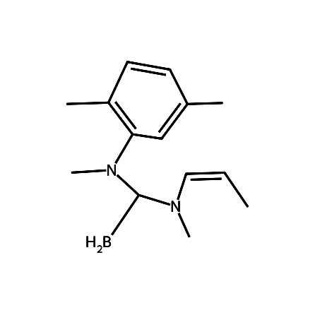 BC(N(C)/C=C\C)N(C)c1cc(C)ccc1C